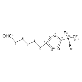 O=CCCCCCc1ccc(C(F)(F)C(F)(F)F)cc1